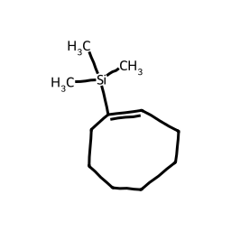 C[Si](C)(C)C1=CCCCCCC1